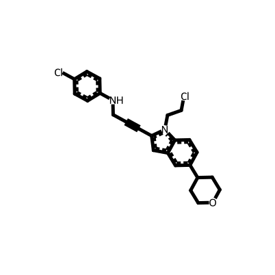 ClCCn1c(C#CCNc2ccc(Cl)cc2)cc2cc(C3CCOCC3)ccc21